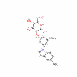 COc1cc(-n2ccc3cc([N+](=O)[O-])ccc32)ccc1O[C@H]1OC(CO)[C@@H](O)C(O)C1O